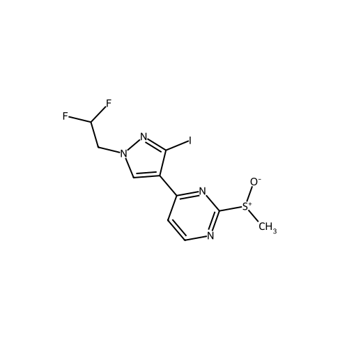 C[S+]([O-])c1nccc(-c2cn(CC(F)F)nc2I)n1